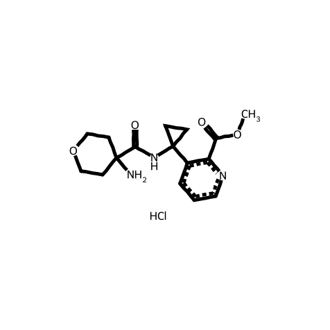 COC(=O)c1ncccc1C1(NC(=O)C2(N)CCOCC2)CC1.Cl